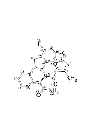 Cc1ncoc1C(=O)N([C@@H]1CCc2c(F)cc(Cl)cc21)[C@@H](C(N)=O)c1ccccc1